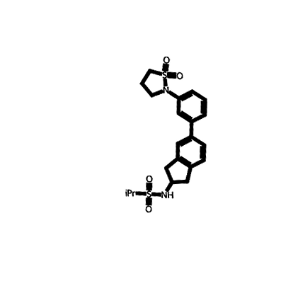 CC(C)S(=O)(=O)NC1Cc2ccc(-c3cccc(N4CCCS4(=O)=O)c3)cc2C1